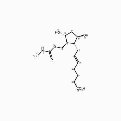 CCCCNC(=S)OC[C@@H]1[C@@H](CC=CCCCC(=O)O)[C@H](O)C[C@H]1O